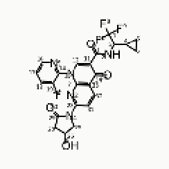 O=C(NC(C1CC1)C(F)(F)F)c1cn(-c2ncccc2F)c2nc(N3C[C@@H](O)CC3=O)ccc2c1=O